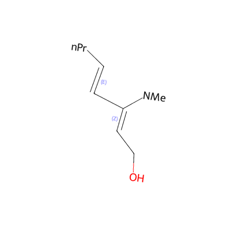 CCC/C=C/C(=C/CO)NC